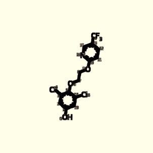 Oc1cc(Cl)c(OCCOc2ccc(C(F)(F)F)cn2)c(Cl)c1